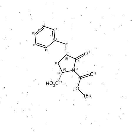 CC(C)(C)OC(=O)N1C(=O)[C@@H](Cc2ccccc2)C[C@H]1C(=O)O